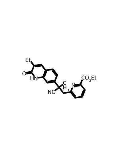 CCOC(=O)c1cccc(CC(C)(C#N)c2ccc3cc(CC)c(=O)[nH]c3c2)n1